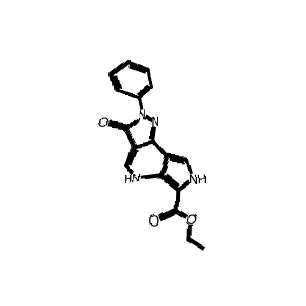 CCOC(=O)c1[nH]cc2c3nn(-c4ccccc4)c(=O)c-3c[nH]c12